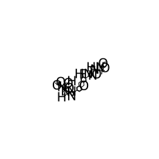 COC(=O)N[C@H](C(=O)N1CCC[C@H]1c1ncc(-c2cc3c(cc2F)Cc2cc(-c4cnc([C@@H]5CCCN5C(=O)[C@@H](NC(=O)OC)[C@@H](C)OC)[nH]4)ccc2O3)[nH]1)C(C)C